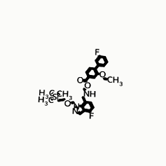 CCOc1cc(C(=O)OCNCc2ccc(F)c3cnn(COCC[Si](C)(C)C)c23)ccc1-c1cccc(F)c1